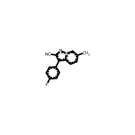 Cc1ccc2c(-c3ccc(F)cc3)c(C#N)nn2c1